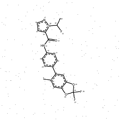 Cc1cc2c(cc1-c1cnc(NC(=O)c3ccnn3C(C)F)cn1)OC(F)(F)O2